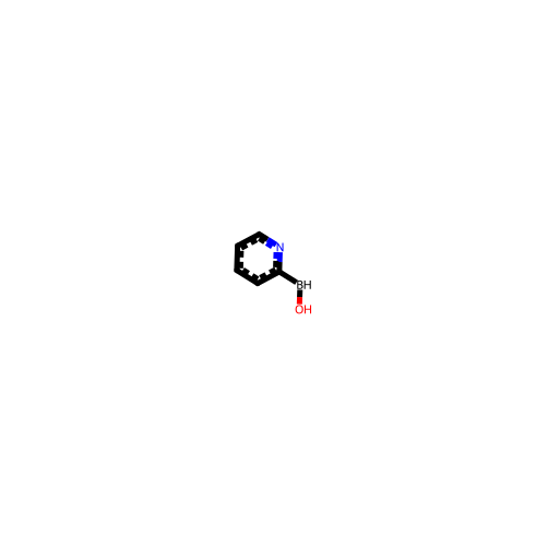 OBc1ccccn1